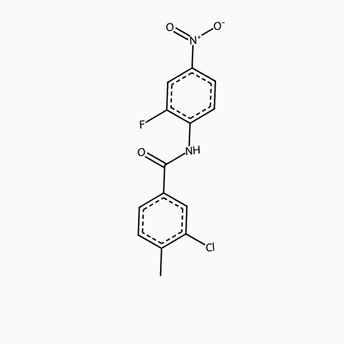 Cc1ccc(C(=O)Nc2ccc([N+](=O)[O-])cc2F)cc1Cl